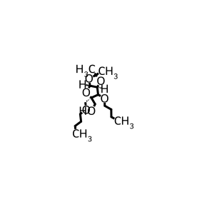 CCCCOC[C@]1(CO)O[C@@H]2OC(C)(C)O[C@H]2C1OCCCC